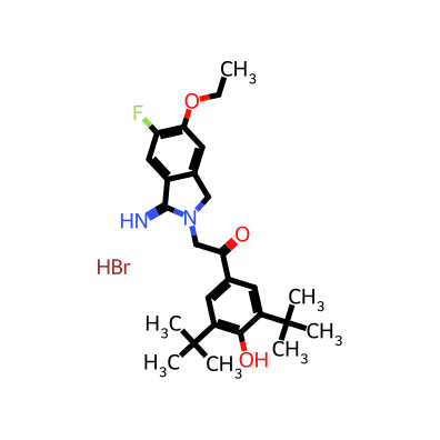 Br.CCOc1cc2c(cc1F)C(=N)N(CC(=O)c1cc(C(C)(C)C)c(O)c(C(C)(C)C)c1)C2